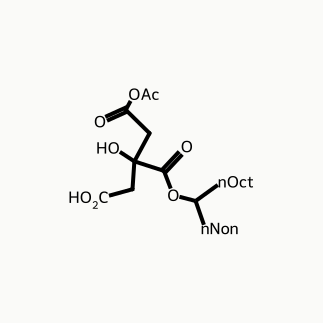 CCCCCCCCCC(CCCCCCCC)OC(=O)C(O)(CC(=O)O)CC(=O)OC(C)=O